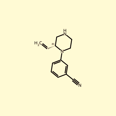 C=C[C@@H]1CNCCN1c1cccc(C#N)c1